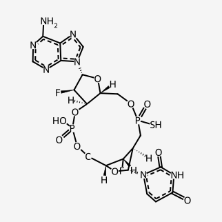 Nc1ncnc2c1ncn2[C@@H]1O[C@@H]2COP(=O)(S)C[C@@H]3[C@H](F)[C@@H](COP(=O)(O)O[C@H]2[C@H]1F)O[C@H]3n1ccc(=O)[nH]c1=O